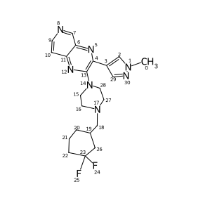 Cn1cc(-c2nc3cnccc3nc2N2CCN(CC3CCCC(F)(F)C3)CC2)cn1